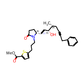 COC(=O)c1ccc(CCCN2C(=O)CC[C@@H]2/C=C/[C@@H](O)[C@H](C)CC#CCc2ccccc2)s1